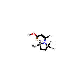 CCOC(=S)/C=C(/C)N1[Si](C)(C)CC[Si]1(C)C